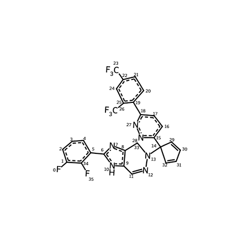 Fc1cccc(-c2nc3c([nH]2)C=NN(C2(c4ccc(-c5ccc(C(F)(F)F)cc5C(F)(F)F)nn4)C=CC=C2)C3)c1F